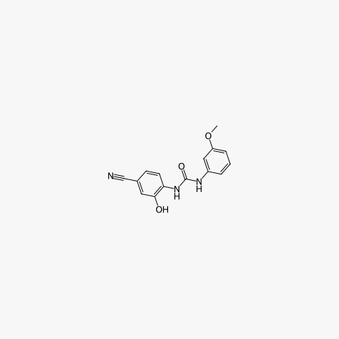 COc1cccc(NC(=O)Nc2ccc(C#N)cc2O)c1